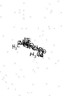 CC1CCCN(c2nc(C(F)(F)F)c(C(=O)Nc3ccc(N4CCCN(C(=O)c5cccn5C)CC4)nc3)o2)C1